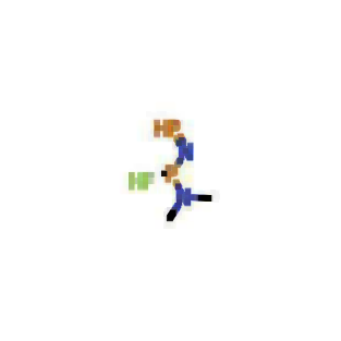 CN(C)[P]N=P.F